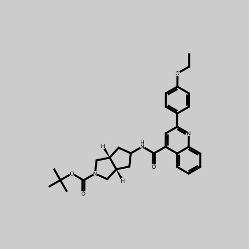 CCOc1ccc(-c2cc(C(=O)NC3C[C@@H]4CN(C(=O)OC(C)(C)C)C[C@@H]4C3)c3ccccc3n2)cc1